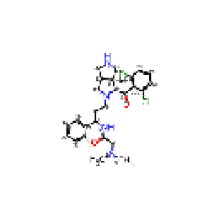 CN(C)CC(=O)NC(CCN1CC2CNC[C@H]2[C@H]1C(=O)c1c(F)cccc1Cl)c1ccccc1